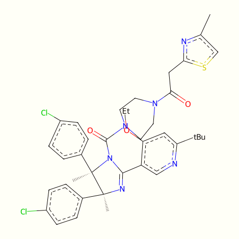 CCOc1cc(C(C)(C)C)ncc1C1=N[C@@](C)(c2ccc(Cl)cc2)[C@@](C)(c2ccc(Cl)cc2)N1C(=O)N1CCN(C(=O)Cc2nc(C)cs2)CC1